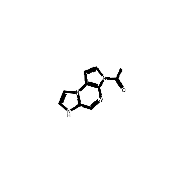 CC(=O)n1ccc2c1N=CC1NC=CN21